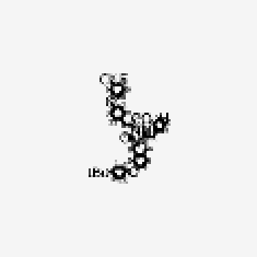 CC(C)(C)c1ccc(Oc2ccc3c(c2)C[C@@H](C(=O)N[C@@H](Cc2ccc(Oc4ccc(F)c(Cl)c4)cc2)C(=O)O)N(C(=O)CC2CCCC2)C3)cc1